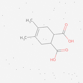 CC1=C(C)CC(C(=O)O)C(C(=O)O)C1